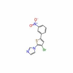 O=[N+]([O-])c1cccc(-c2cc(Br)c(-n3ccnc3)s2)c1